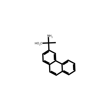 CC(N)(C(=O)O)c1ccc2ccc3ccccc3c2c1